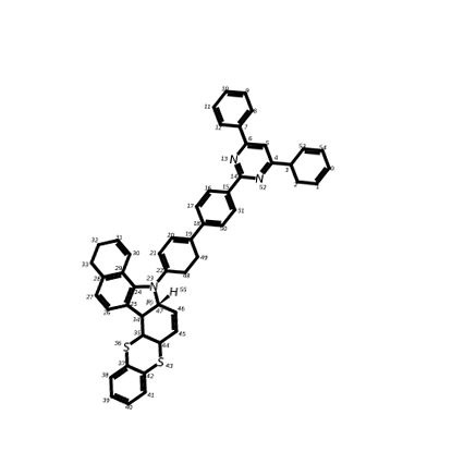 C1=CCC(c2cc(-c3ccccc3)nc(-c3ccc(C4=CC=C(N5c6c(ccc7c6C=CCC7)C6C7Sc8ccccc8SC7C=C[C@H]65)CC4)cc3)n2)C=C1